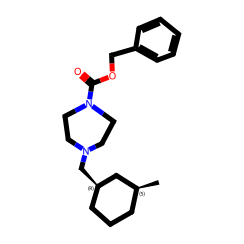 C[C@H]1CCC[C@@H](CN2CCN(C(=O)OCc3ccccc3)CC2)C1